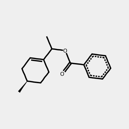 CC(OC(=O)c1ccccc1)C1=CC[C@H](C)CC1